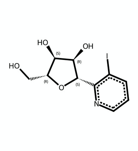 OC[C@H]1O[C@@H](c2ncccc2I)[C@H](O)[C@@H]1O